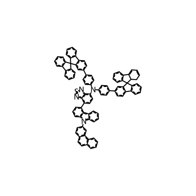 C1=CCC2C(=C1)c1ccccc1C21c2ccccc2-c2ccc(-c3ccc(N(c4ccc(-c5ccc6c(c5)C5(c7ccccc7-c7ccccc75)c5ccccc5-6)cc4)c4ccc(-c5cccc6c5c5ccccc5n6-c5ccc6ccc7ccccc7c6c5)c5nsnc45)cc3)cc21